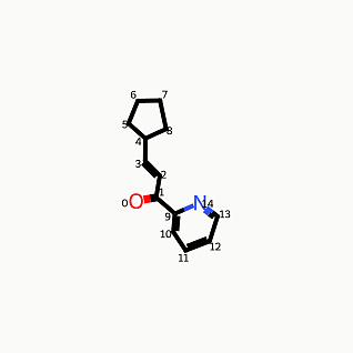 O=C(/C=C/C1CCCC1)c1ccccn1